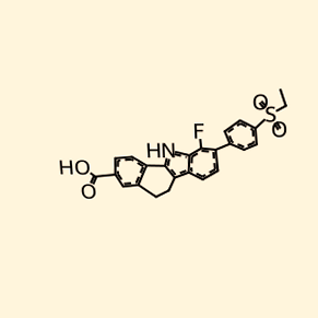 CCS(=O)(=O)c1ccc(-c2ccc3c4c([nH]c3c2F)-c2ccc(C(=O)O)cc2CC4)cc1